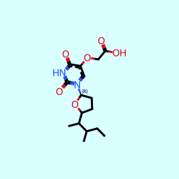 CCC(C)C(C)C1CC[C@H](n2cc(OCC(=O)O)c(=O)[nH]c2=O)O1